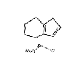 C[O][Zr][Cl].[CH]1C=CC2=C1CCCC2